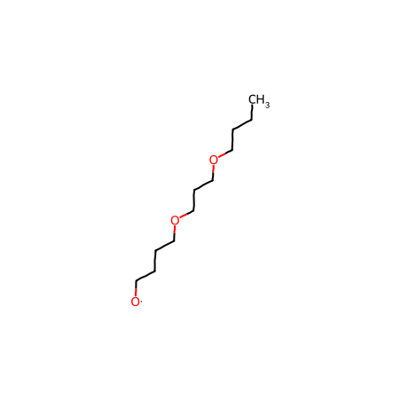 CCCCOCCCOCCCC[O]